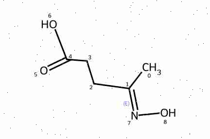 C/C(CCC(=O)O)=N\O